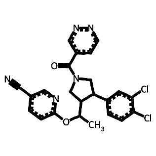 CC(Oc1ccc(C#N)cn1)C1CN(C(=O)c2ccnnc2)CC1c1ccc(Cl)c(Cl)c1